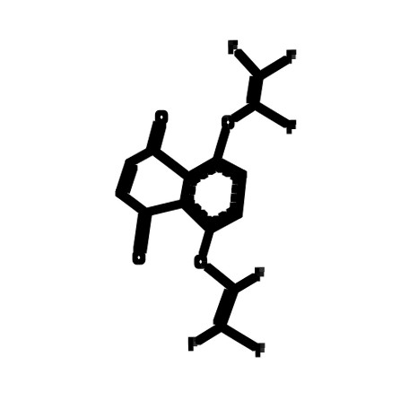 O=C1C=CC(=O)c2c(OC(F)=C(F)F)ccc(OC(F)=C(F)F)c21